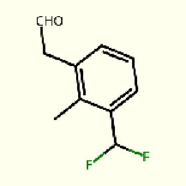 Cc1c(CC=O)cccc1C(F)F